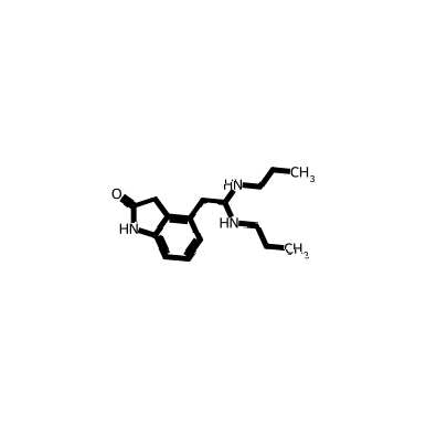 CCCNC(Cc1cccc2c1CC(=O)N2)NCCC